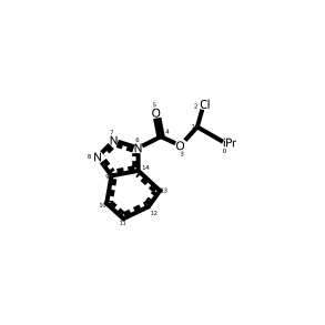 CC(C)C(Cl)OC(=O)n1nnc2ccccc21